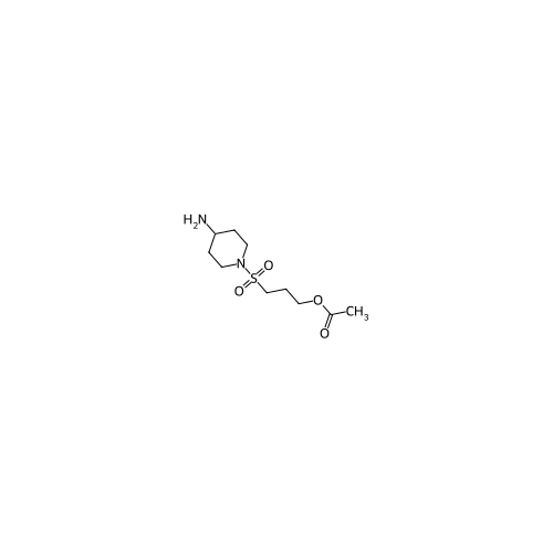 CC(=O)OCCCS(=O)(=O)N1CCC(N)CC1